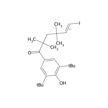 CC(C)(/C=C/I)CC(C)(C)C(=O)c1cc(C(C)(C)C)c(O)c(C(C)(C)C)c1